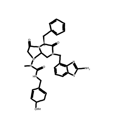 COC1C=CC(CNC(=O)N(C)N2CC(=O)N3C2CN(Cc2cccc4sc(N)nc24)C(=O)[C@@H]3Cc2ccccc2)=CC1